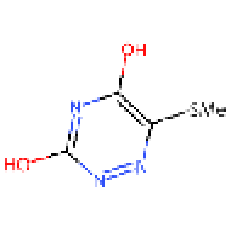 [CH2]Sc1nnc(O)nc1O